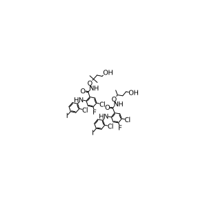 CC(C)(CCO)ONC(=O)c1cc(Cl)c(F)cc1Nc1ccc(I)cc1Cl.CC(CCO)ONC(=O)c1cc(Cl)c(F)cc1Nc1ccc(I)cc1Cl